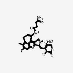 CCC1C(=O)OCC(C=O)=C1/C=C1/c2nc3cc(F)c(C)c4c3c(c2CN1C)C(NC(=O)CCC(N)=O)CC4